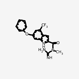 CN(C(=N)N)C(=O)c1cc2c(C(F)(F)F)cc(Oc3ccccc3)cc2[nH]1